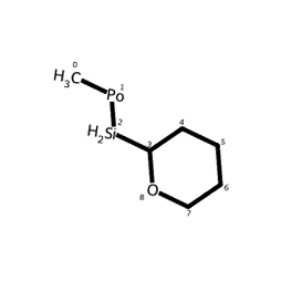 [CH3][Po][SiH2]C1CCCCO1